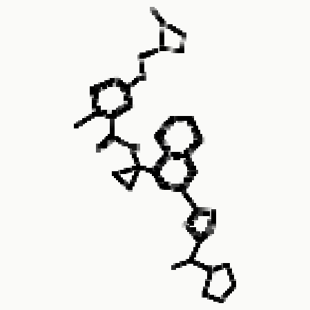 Cc1ccc(OC[C@@H]2CCN2C)cc1C(=O)NC1(c2cc(-c3ccc(C(C)N4CCCC4)s3)cc3ncccc23)CC1